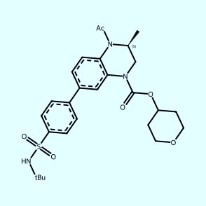 CC(=O)N1c2ccc(-c3ccc(S(=O)(=O)NC(C)(C)C)cc3)cc2N(C(=O)OC2CCOCC2)C[C@@H]1C